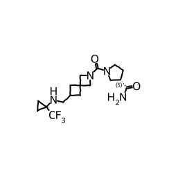 NC(=O)[C@H]1CCN(C(=O)N2CC3(CC(CNC4(C(F)(F)F)CC4)C3)C2)C1